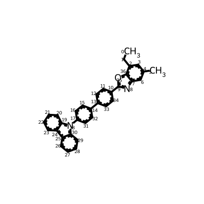 CCc1cc(C)cc2nc(-c3ccc(-c4ccc(-n5c6ccccc6c6ccccc65)cc4)cc3)oc12